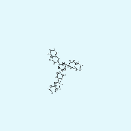 c1ccc2cc(-c3nc(-c4ccc(-c5ccc6ccccc6n5)cc4)nc(-c4ccc5ccccc5c4)n3)ccc2c1